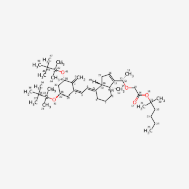 C=C1C(=CC=C2CCC[C@]3(C)C([C@H](C)OCC(=O)OC(C)(C)CCCC)=CC[C@@H]23)C[C@@H](O[Si](C)(C)C(C)(C)C)C[C@@H]1O[Si](C)(C)C(C)(C)C